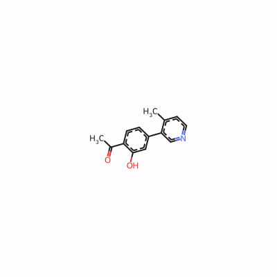 CC(=O)c1ccc(-c2cnccc2C)cc1O